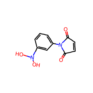 O=C1C=CC(=O)N1c1cccc(N(O)O)c1